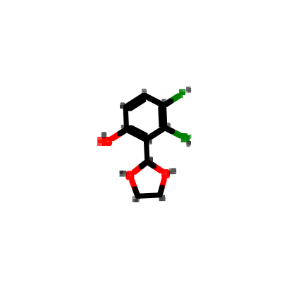 Oc1ccc(F)c(Br)c1C1OCCO1